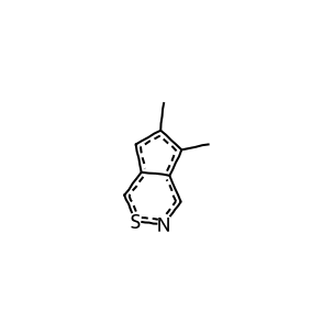 Cc1cc2csncc-2c1C